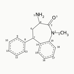 CN1C(=O)C(N)CC(c2ccccc2)c2ccccc21